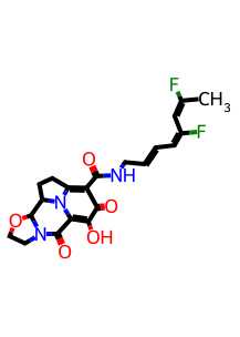 C\C(F)=C/C(F)=C\C=C\CNC(=O)c1c2n3c(c(O)c1=O)C(=O)N1CCOC1C3CC2